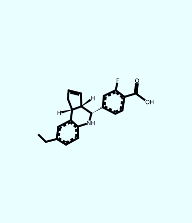 CCc1ccc2c(c1)[C@@H]1CC=C[C@@H]1[C@H](c1ccc(C(=O)O)c(F)c1)N2